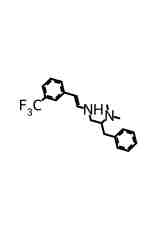 CN(C)C(CN/C=C/c1cccc(C(F)(F)F)c1)Cc1ccccc1